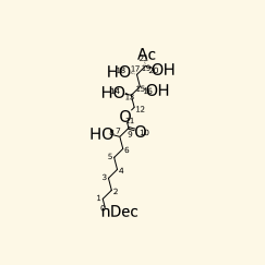 CCCCCCCCCCCCCCCCC(O)C(=O)OC[C@@H](O)[C@@H](O)[C@H](O)[C@@H](O)C(C)=O